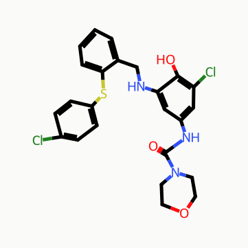 O=C(Nc1cc(Cl)c(O)c(NCc2ccccc2Sc2ccc(Cl)cc2)c1)N1CCOCC1